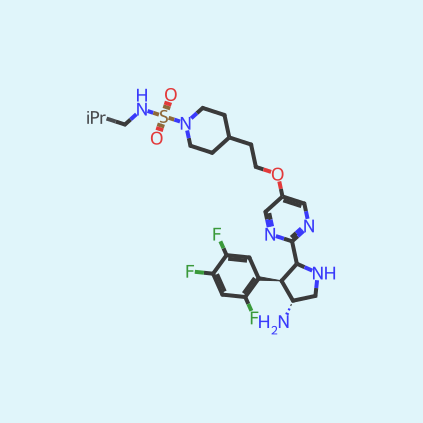 CC(C)CNS(=O)(=O)N1CCC(CCOc2cnc(C3NC[C@H](N)[C@H]3c3cc(F)c(F)cc3F)nc2)CC1